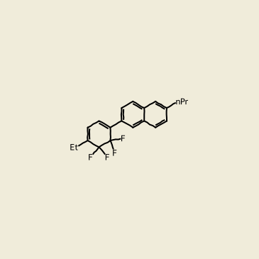 CCCc1ccc2cc(C3=CC=C(CC)C(F)(F)C3(F)F)ccc2c1